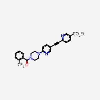 CCOC(=O)c1ccc(C#Cc2ccc(N3CCN(C(=O)c4ccccc4C(F)(F)F)CC3)nc2)nc1